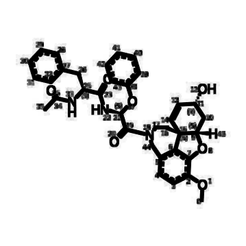 COc1ccc2c3c1O[C@H]1C[C@@H](O)C=C[C@@]31CCN(C(=O)[C@@H](NC(=O)[C@H](Cc1ccccc1)NC(C)=O)Oc1ccccc1)C2